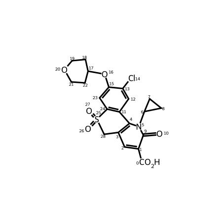 O=C(O)c1cc2c(n(C3CC3)c1=O)-c1cc(Cl)c(OC3CCOCC3)cc1S(=O)(=O)C2